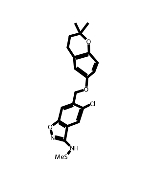 CSNc1noc2cc(COc3ccc4c(c3)CCC(C)(C)O4)c(Cl)cc12